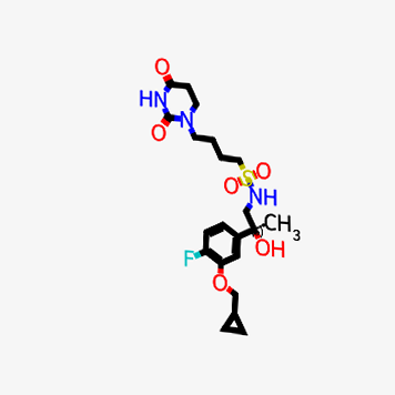 C[C@@](O)(CNS(=O)(=O)CCCCN1CCC(=O)NC1=O)c1ccc(F)c(OCC2CC2)c1